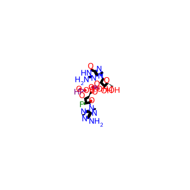 Nc1nc2c(ncn2[C@@H]2O[C@H](CO)[C@H](O)[C@@H]2OP(=O)(O)OC[C@H]2O[C@@H](n3cnc4c(N)ncnc43)C(F)[C@H]2O[PH](=O)O)c(=O)[nH]1